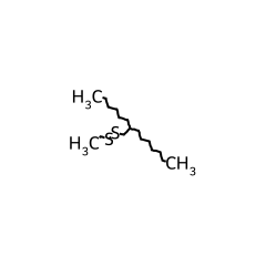 CCCCCCCC(CCCCCC)CSSCC